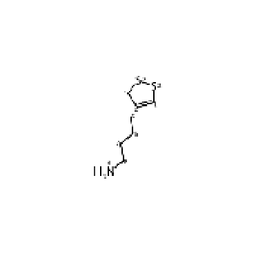 C1=CSSC1.CCCCN